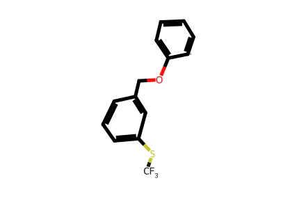 FC(F)(F)Sc1cccc(COc2[c]cccc2)c1